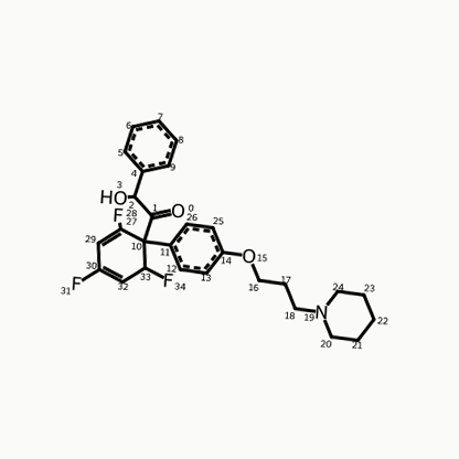 O=C(C(O)c1ccccc1)C1(c2ccc(OCCCN3CCCCC3)cc2)C(F)=CC(F)=CC1F